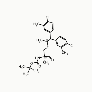 Cc1cc(C(c2ccc(Cl)c(C)c2)[C@H](C)OC[C@@](C)(C=O)NC(=O)OC(C)(C)C)ccc1Cl